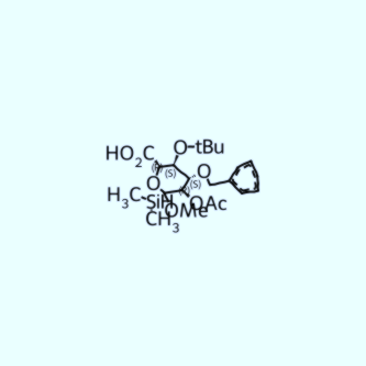 COC1([SiH](C)C)O[C@@H](C(=O)O)[C@@H](OC(C)(C)C)[C@H](OCc2ccccc2)[C@H]1OC(C)=O